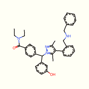 CCN(CC)C(=O)c1ccc(C(c2cccc(O)c2)n2nc(C)c(-c3ccccc3CNCc3ccccc3)c2C)cc1